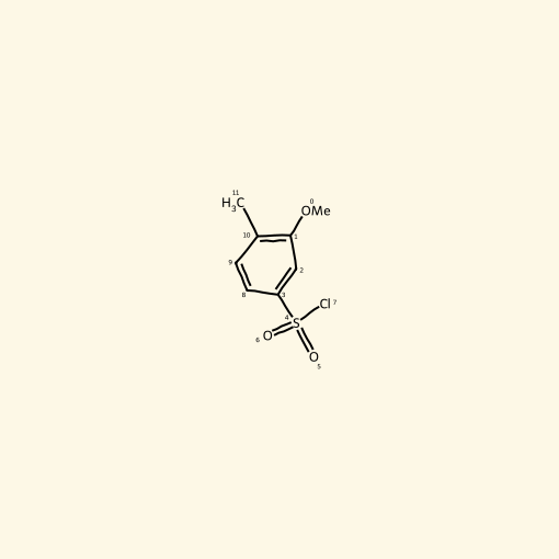 COc1cc(S(=O)(=O)Cl)ccc1C